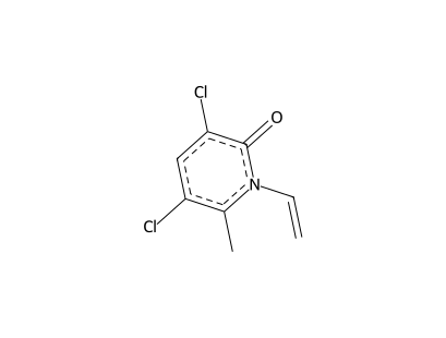 C=Cn1c(C)c(Cl)cc(Cl)c1=O